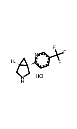 Cl.FC(F)(F)c1ccc([C@]23CNC[C@H]2C3)nc1